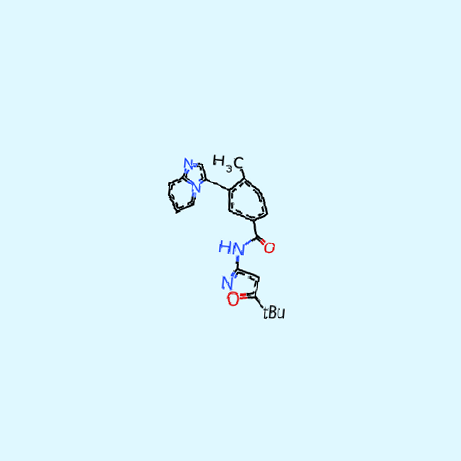 Cc1ccc(C(=O)Nc2cc(C(C)(C)C)on2)cc1-c1cnc2ccccn12